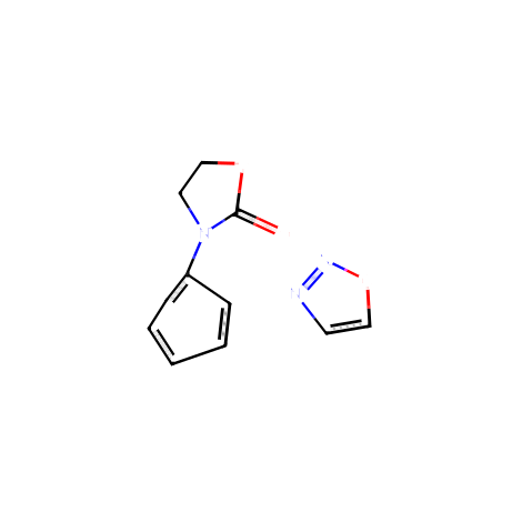 O=C1OCCN1c1ccccc1.c1conn1